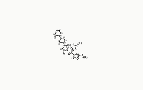 CC(C)[C@H](NC(=O)OC(C)(C)C)C(=O)N1C[C@H](O)C[C@H]1C(=O)N[C@@H](CO)c1ccc(-c2ccncc2F)cc1